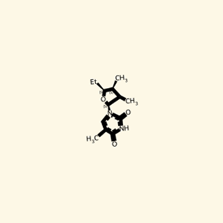 CC[C@@H]1O[C@H](n2cc(C)c(=O)[nH]c2=O)C(C)[C@@H]1C